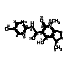 CC1CCc2c1c(O)c(C(=O)Nc1ncc(Cl)cn1)c(=O)n2C